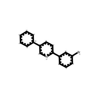 Brc1cccc(-c2ccc(-c3ccccc3)cn2)c1